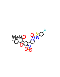 CNC(=O)c1c(-c2ccc(C)cc2)oc2cc(N(C)S(C)(=O)=O)c([C@@H]3CCCN(C(=O)c4nc5ccc(F)cc5s4)C3)cc12